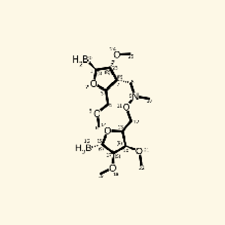 B[C@@H]1OC(COC)[C@@H](CN(C)OCC2O[C@@H](B)[C@H](OC)[C@@H]2OC)[C@H]1OC